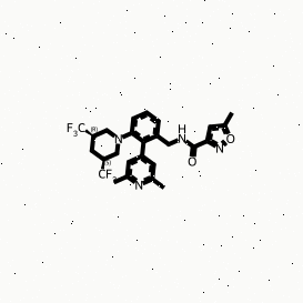 Cc1cc(-c2c(CNC(=O)c3cc(C)on3)cccc2N2C[C@H](C(F)(F)F)C[C@H](C(F)(F)F)C2)cc(C)n1